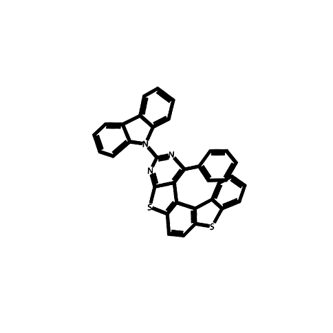 c1ccc(-c2nc(-n3c4ccccc4c4ccccc43)nc3sc4ccc5sc6ccccc6c5c4c23)cc1